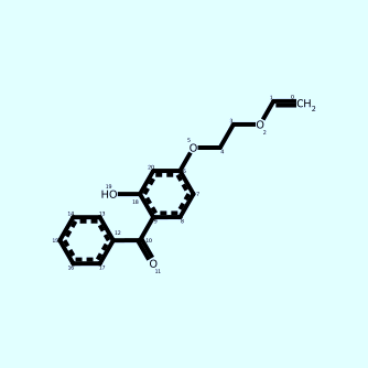 C=COCCOc1ccc(C(=O)c2ccccc2)c(O)c1